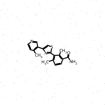 Cc1ccncc1-c1csc(-c2c(C)ccc(C(N)=O)c2C)n1